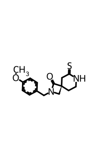 COc1ccc(CN2C[C@@]3(CCNC(=S)C3)C2=O)cc1